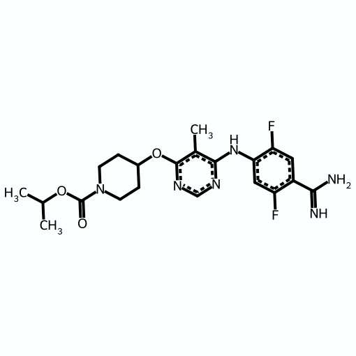 Cc1c(Nc2cc(F)c(C(=N)N)cc2F)ncnc1OC1CCN(C(=O)OC(C)C)CC1